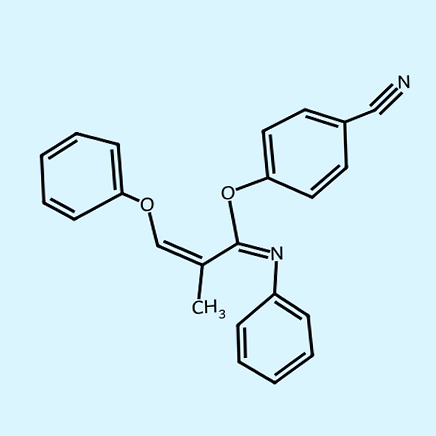 CC(=COc1ccccc1)C(=Nc1ccccc1)Oc1ccc(C#N)cc1